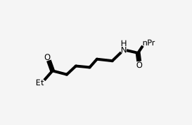 CCCC(=O)NCCCCCC(=O)CC